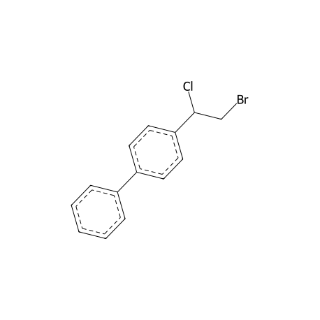 ClC(CBr)c1ccc(-c2ccccc2)cc1